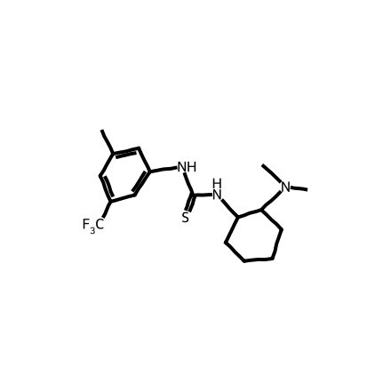 Cc1cc(NC(=S)NC2CCCCC2N(C)C)cc(C(F)(F)F)c1